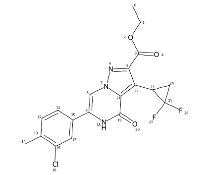 CCOC(=O)c1nn2cc(-c3ccc(C)c(Cl)c3)[nH]c(=O)c2c1C1CC1(F)F